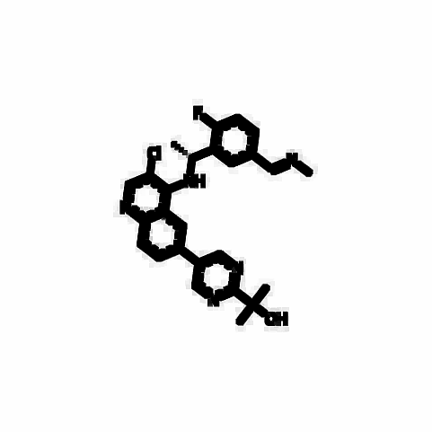 C/N=C/c1ccc(F)c([C@@H](C)Nc2c(Cl)cnc3ccc(-c4cnc(C(C)(C)O)nc4)cc23)c1